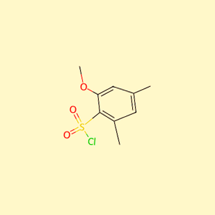 COc1cc(C)cc(C)c1S(=O)(=O)Cl